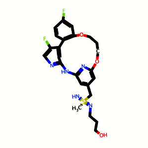 CS(=N)(Cc1cc2nc(c1)OCCCOc1cc(F)ccc1-c1cc(ncc1F)N2)=NCCCO